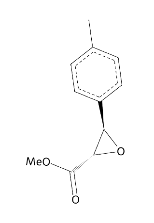 COC(=O)[C@H]1O[C@@H]1c1ccc(C)cc1